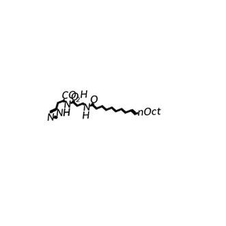 CCCCCCCCC=CCCCCCCCC(=O)NCCC(=O)N[C@@H](Cc1cnc[nH]1)C(=O)O